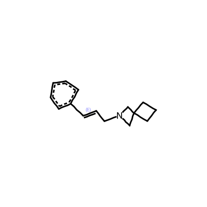 C(=C\c1ccccc1)/CN1CC2(CCC2)C1